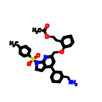 CC(=O)OCCc1ccccc1OCc1cc(-c2cccc(CN)c2)c2ccn(S(=O)(=O)c3ccc(C)cc3)c2n1